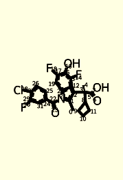 Cc1c([C@](C)(C(=O)O)C2CCC2)c2c(F)c(O)c(F)cc2n1C(=O)c1ccc(Cl)c(F)c1